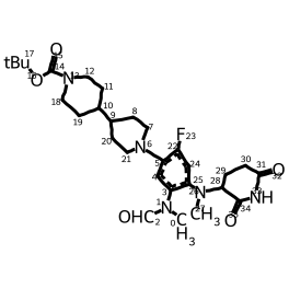 CN(C=O)c1cc(N2CCC(C3CCN(C(=O)OC(C)(C)C)CC3)CC2)c(F)cc1N(C)C1CCC(=O)NC1=O